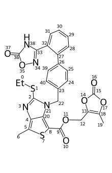 CCSc1nc2c(C)sc(C(=O)OCc3oc(=O)oc3C)c2n1Cc1ccc(-c2ccccc2-c2noc(=O)[nH]2)cc1